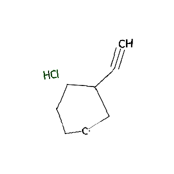 C#CC1C[CH]CCC1.Cl